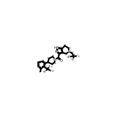 Cc1cccc(C2CCN(C(=O)c3n[nH]c4c3CN(CC(F)(F)F)CC4)CC2)c1C(F)(F)F